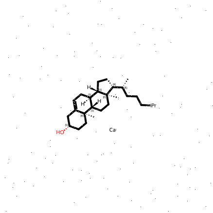 CC(C)CCC[C@@H](C)[C@H]1CC[C@H]2[C@@H]3CC=C4C[C@@H](O)CC[C@]4(C)[C@H]3CC[C@]12C.[Ca]